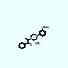 COc1cccc(N2CCN(C(C)C(=O)c3ccccc3)CC2)c1.Cl